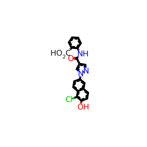 O=C(Nc1ccccc1C(=O)O)c1cnn(-c2ccc3c(Cl)c(O)ccc3c2)c1